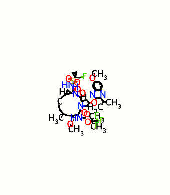 COC[C@@H]1C[C@@H](C)CCCC[C@@H]2C[C@@]2(C(=O)NS(=O)(=O)C2(CF)CC2)NC(=O)[C@@H]2C[C@@H](Oc3nc4cc(OC)ccc4nc3C(C)C)CN2C(=O)[C@H]1NC(=O)OC(C)(C)C(F)(F)F